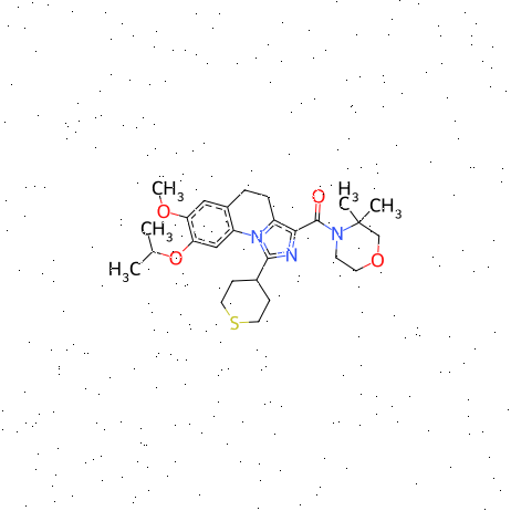 COc1cc2c(cc1OC(C)C)-n1c(C3CCSCC3)nc(C(=O)N3CCOCC3(C)C)c1CC2